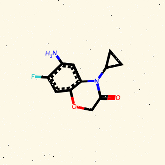 Nc1cc2c(cc1F)OCC(=O)N2C1CC1